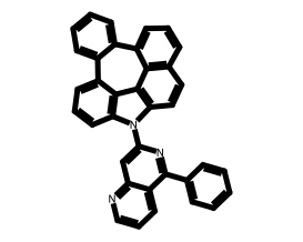 c1ccc(-c2nc(-n3c4cccc5c4c4c6c(cccc6ccc43)-c3ccccc3-5)cc3ncccc23)cc1